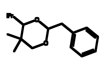 CC(C)C1OC(Cc2ccccc2)OCC1(C)C